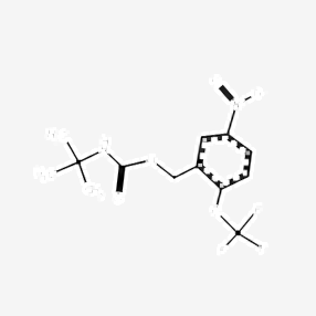 CC(C)(C)NC(=O)OCc1cc([N+](=O)[O-])ccc1OC(F)(F)F